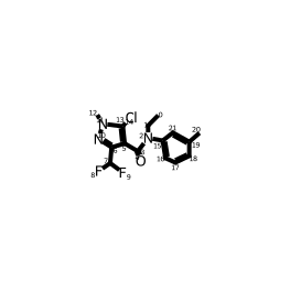 CCN(C(=O)c1c(C(F)F)nn(C)c1Cl)c1cccc(C)c1